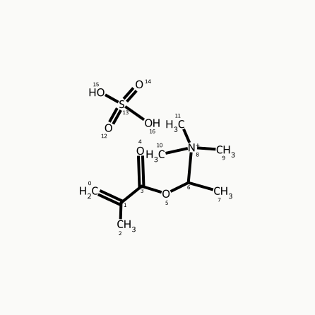 C=C(C)C(=O)OC(C)[N+](C)(C)C.O=S(=O)(O)O